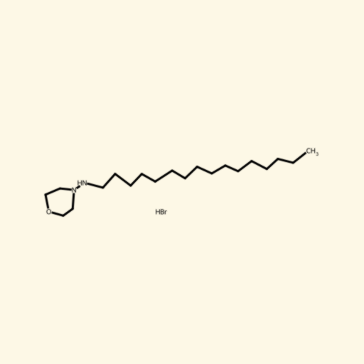 Br.CCCCCCCCCCCCCCCCNN1CCOCC1